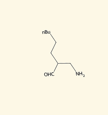 CCCCCCC(C=O)CN